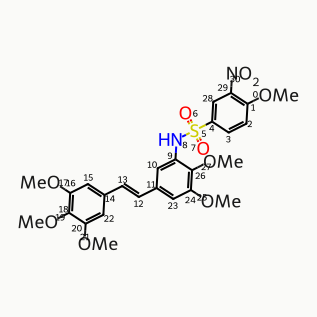 COc1ccc(S(=O)(=O)Nc2cc(C=Cc3cc(OC)c(OC)c(OC)c3)cc(OC)c2OC)cc1[N+](=O)[O-]